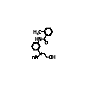 CCCN(CCO)c1cccc(NC(=O)c2ccccc2C)c1